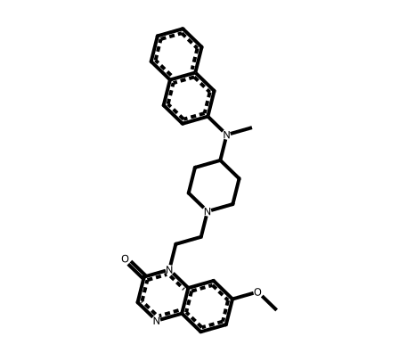 COc1ccc2ncc(=O)n(CCN3CCC(N(C)c4ccc5ccccc5c4)CC3)c2c1